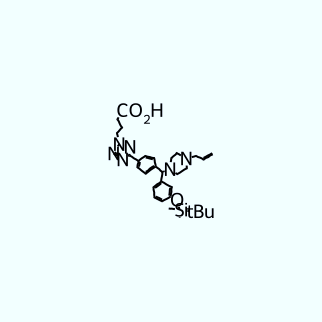 C=CCN1CCN([C@H](c2ccc(-c3nnn(CCCC(=O)O)n3)cc2)c2cccc(O[Si](C)(C)C(C)(C)C)c2)CC1